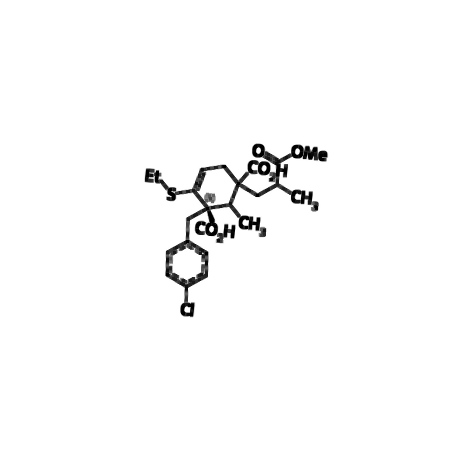 CCSC1=CCC(CC(C)C(=O)OC)(C(=O)O)C(C)[C@@]1(Cc1ccc(Cl)cc1)C(=O)O